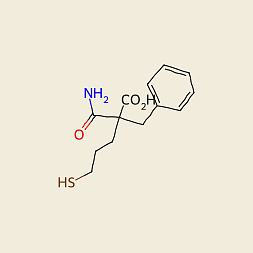 NC(=O)C(CCCS)(Cc1ccccc1)C(=O)O